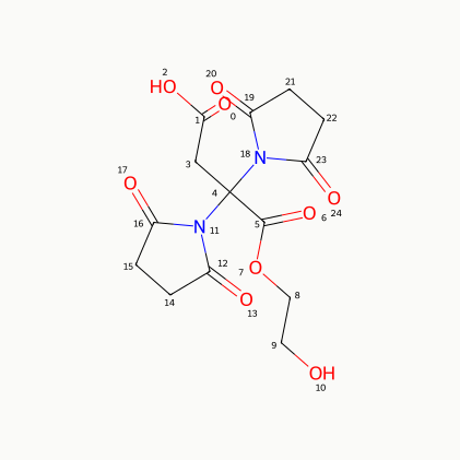 O=C(O)CC(C(=O)OCCO)(N1C(=O)CCC1=O)N1C(=O)CCC1=O